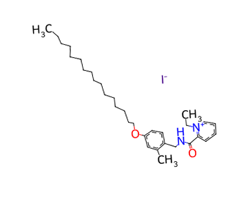 CCCCCCCCCCCCCCCCOc1ccc(CNC(=O)c2cccc[n+]2CC)c(C)c1.[I-]